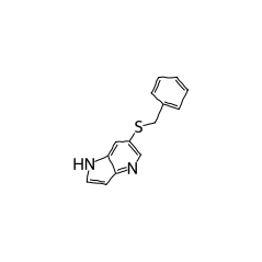 c1ccc(CSc2cnc3cc[nH]c3c2)cc1